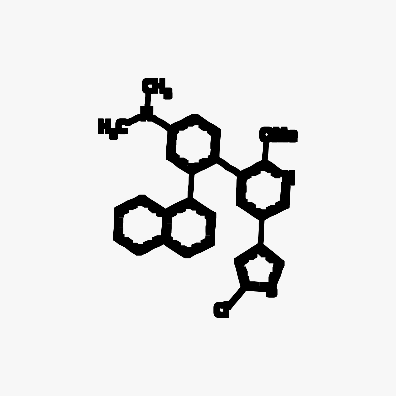 COc1ncc(-c2csc(Cl)c2)cc1-c1ccc(N(C)C)cc1-c1cccc2ccccc12